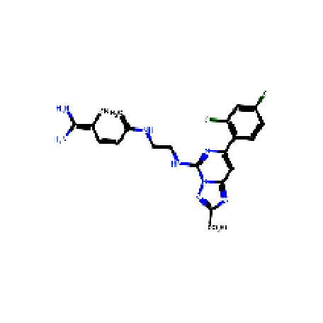 C=C(/C=C\C(C#N)=C(N)N)NCCNc1nc(-c2ccc(Cl)cc2Cl)cc2nc(C(=O)OCC)nn12